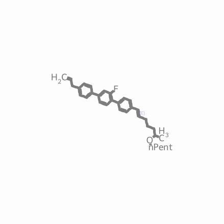 C=CCc1ccc(-c2ccc(-c3ccc(/C=C/CCCC(C)OCCCCC)cc3)c(F)c2)cc1